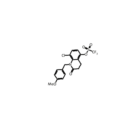 COc1ccc(CN2C(=O)CCc3c(OS(=O)(=O)C(F)(F)F)ccc(Cl)c32)cc1